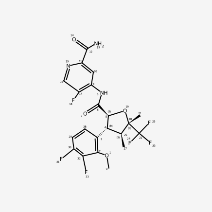 COc1c([C@@H]2[C@@H](C(=O)Nc3cc(C(N)=O)ncc3F)O[C@](C)(C(F)(F)F)[C@H]2C)ccc(F)c1F